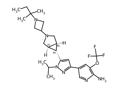 CCC(C)(C)N1CC(N2C[C@@H]3[C@H](C2)[C@H]3c2cc(-c3cnc(N)c(OC(F)(F)F)c3)nn2C(C)C)C1